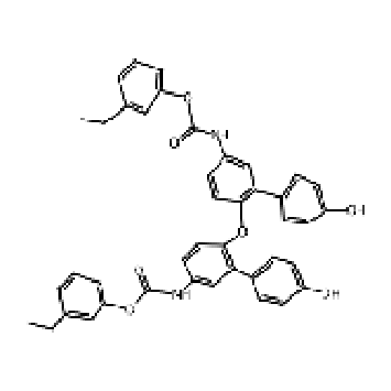 CCc1cccc(OC(=O)Nc2ccc(Oc3ccc(NC(=O)Oc4cccc(CC)c4)cc3-c3ccc(O)cc3)c(-c3ccc(O)cc3)c2)c1